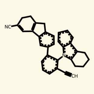 C#Cc1cccc(-c2ccc3c(c2)C2=C(CCC(C#N)=C2)C3)c1-n1c2c(c3ccccc31)CCCC2